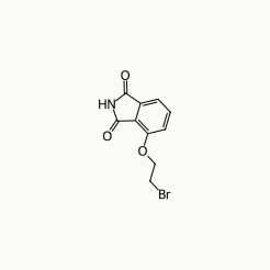 O=C1NC(=O)c2c(OCCBr)cccc21